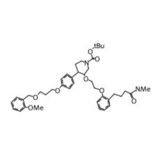 CNC(=O)CCCc1ccccc1OCCOC1CN(C(=O)OC(C)(C)C)CCC1c1ccc(OCCCOCc2ccccc2OC)cc1